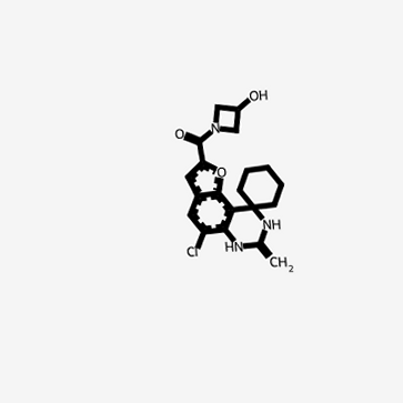 C=C1Nc2c(Cl)cc3cc(C(=O)N4CC(O)C4)oc3c2C2(CCCCC2)N1